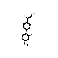 CCCCC=C(F)c1ccc(-c2ccc(CCC)cc2F)cc1